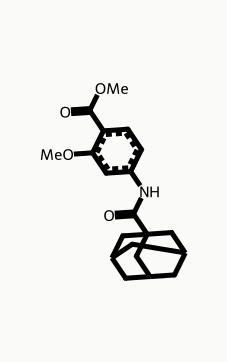 COC(=O)c1ccc(NC(=O)C23CC4CC(CC(C4)C2)C3)cc1OC